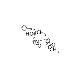 COC(=O)c1ccc(CCCN2C(=O)CC[C@@H]2C=C[C@@H](O)[C@@H](C)CC#Cc2ccccc2)s1